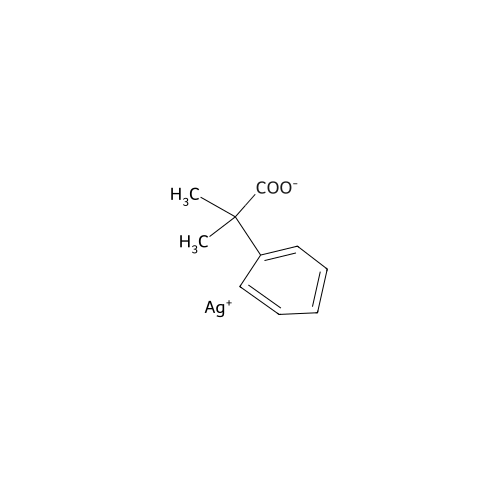 CC(C)(C(=O)[O-])c1ccccc1.[Ag+]